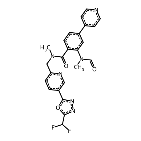 CN(Cc1ccc(-c2nnc(C(F)F)o2)cn1)C(=O)c1ccc(-c2ccncc2)cc1N(C)C=O